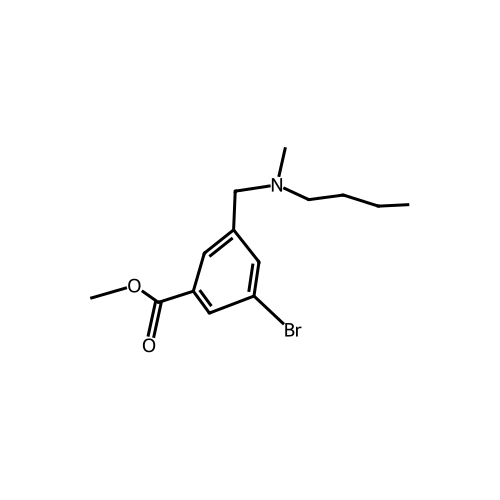 CCCCN(C)Cc1cc(Br)cc(C(=O)OC)c1